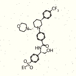 CCS(=O)(=O)c1ccc([C@H](CO)NC(=O)c2ccc(N3C[C@H](c4ccc(C(F)(F)F)cc4)CC[C@H]3CN3CCOCC3)cc2)cc1